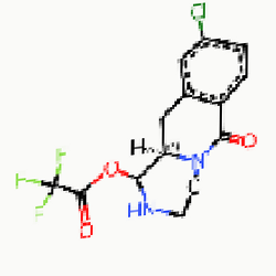 O=C1c2ccc(Cl)cc2C[C@@H]2C(OC(=O)C(F)(F)F)NCCN12